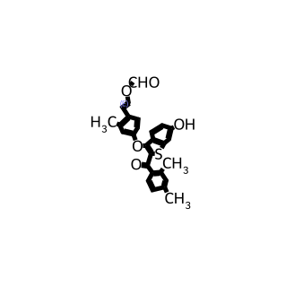 Cc1ccc(C(=O)c2sc3cc(O)ccc3c2Oc2ccc(/C=C/OC=O)c(C)c2)c(C)c1